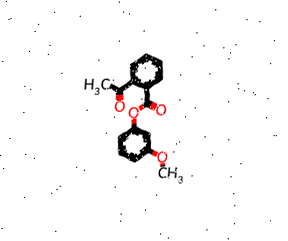 COc1cccc(OC(=O)c2ccccc2C(C)=O)c1